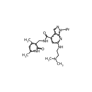 Cc1cc(C)c(CNC(=O)c2cc(NCCN(C)C)nc3c2cnn3C(C)C)c(=O)[nH]1